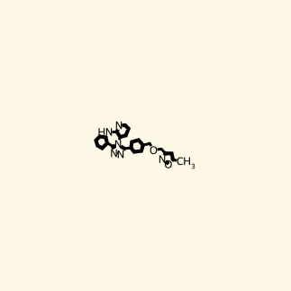 Cc1cc(COCc2ccc(-c3nnc4n3-c3cccnc3Nc3ccccc3-4)cc2)no1